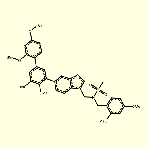 COc1ccc(CN(Cc2csc3cc(-c4cc(-c5cnc(OC(C)(C)C)nc5OC(C)(C)C)cc(C(C)(C)C)c4OC)ccc23)S(C)(=O)=O)c(OC)c1